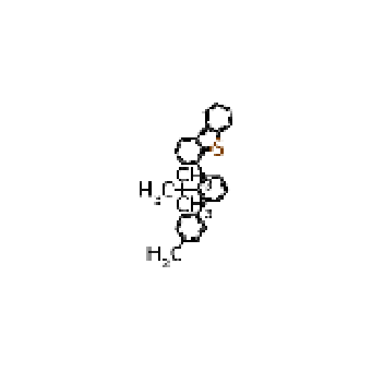 Cc1ccc(-c2cccc(-c3cccc4c3sc3ccccc34)c2C(C)(C)C)cc1